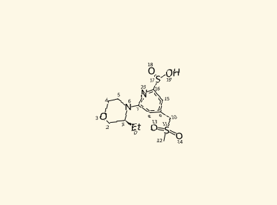 CC[C@H]1COCCN1c1cc(CS(C)(=O)=O)cc(S(=O)O)n1